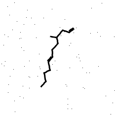 C=CCC(C)CCC=CCCCC